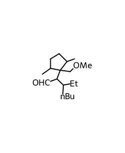 CCCCC(CC)C(C=O)C1(COC)C(C)CCC1C